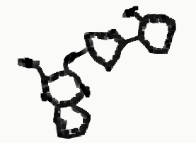 CCCCc1nc2ccccc2nc1Oc1ccc(-c2ccccc2C#N)cc1